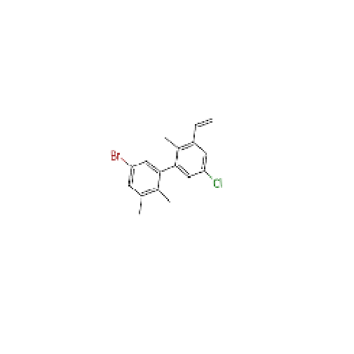 C=Cc1cc(Cl)cc(-c2cc(Br)cc(C)c2C)c1C